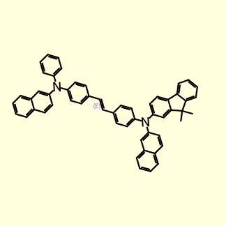 CC1(C)c2ccccc2-c2ccc(N(c3ccc(/C=C/c4ccc(N(c5ccccc5)c5ccc6ccccc6c5)cc4)cc3)c3ccc4ccccc4c3)cc21